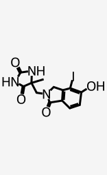 CC1(CN2Cc3c(ccc(O)c3I)C2=O)NC(=O)NC1=O